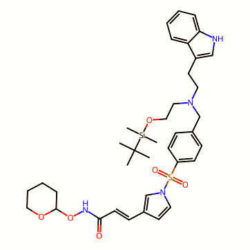 CC(C)(C)[Si](C)(C)OCCN(CCc1c[nH]c2ccccc12)Cc1ccc(S(=O)(=O)n2ccc(C=CC(=O)NOC3CCCCO3)c2)cc1